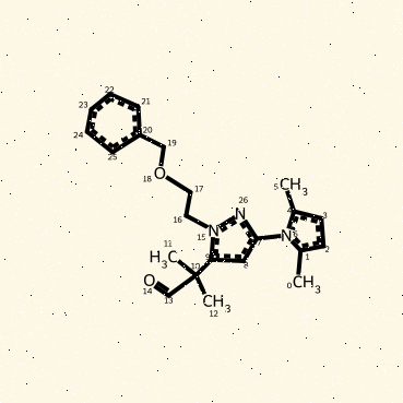 Cc1ccc(C)n1-c1cc(C(C)(C)C=O)n(CCOCc2ccccc2)n1